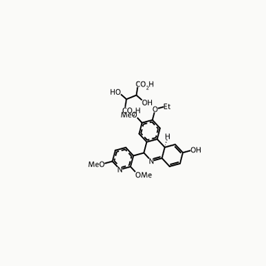 CCOc1cc2c(cc1OC)C(c1ccc(OC)nc1OC)N=C1C=CC(O)=C[C@@H]12.O=C(O)C(O)C(O)C(=O)O